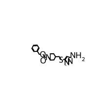 Cn1nc(N)cc1SCC1CCN(C(=O)OCc2ccccc2)CC1